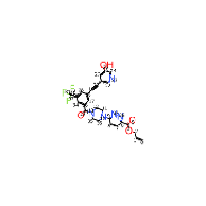 C=CCOC(=O)c1ccc(N2CCN(C(=O)c3cc(C#Cc4cncc(O)c4)cc(C(F)(F)F)c3)CC2)nn1